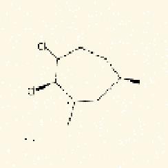 CC1C[C@H](C)CCC(Cl)[C@@H]1Cl